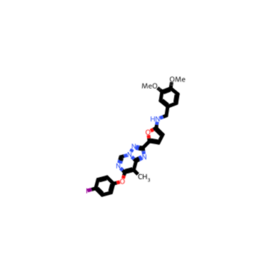 COc1ccc(CNc2ccc(-c3nc4c(C)c(Oc5ccc(I)cc5)ncn4n3)o2)cc1OC